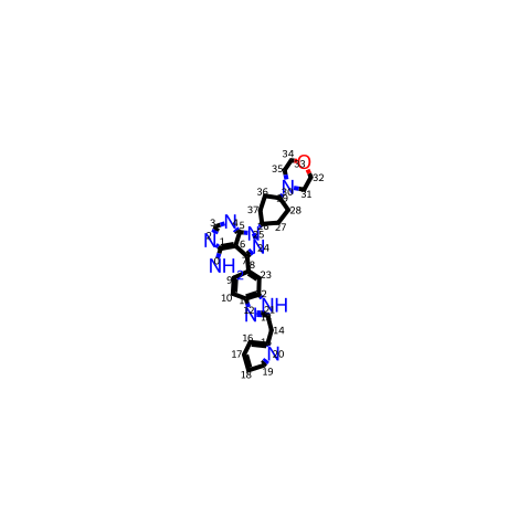 Nc1ncnc2c1c(-c1ccc3nc(Cc4ccccn4)[nH]c3c1)nn2C1CCC(N2CCOCC2)CC1